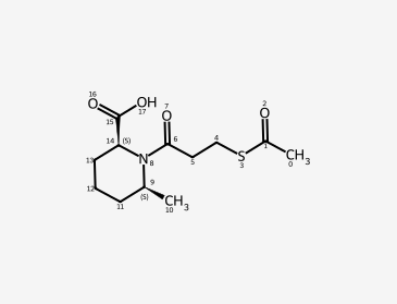 CC(=O)SCCC(=O)N1[C@@H](C)CCC[C@H]1C(=O)O